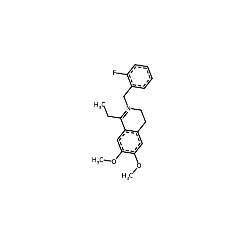 CCC1=[N+](Cc2ccccc2F)CCc2cc(OC)c(OC)cc21